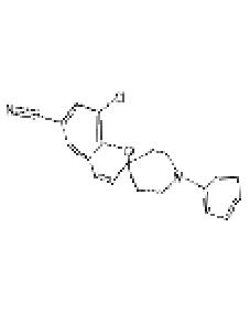 N#Cc1cc(Cl)c2c(c1)C=CC1(CCN(c3ccccc3)CC1)O2